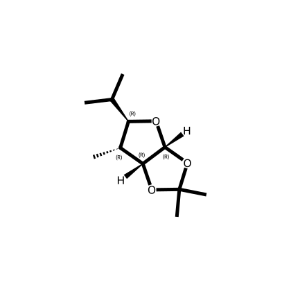 CC(C)[C@H]1O[C@@H]2OC(C)(C)O[C@@H]2[C@@H]1C